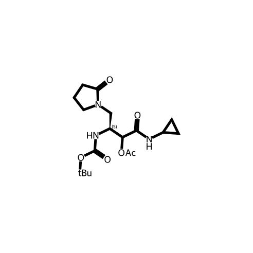 CC(=O)OC(C(=O)NC1CC1)[C@H](CN1CCCC1=O)NC(=O)OC(C)(C)C